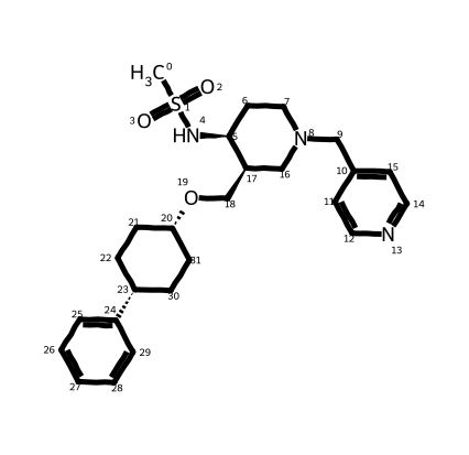 CS(=O)(=O)N[C@H]1CCN(Cc2ccncc2)C[C@H]1CO[C@H]1CC[C@@H](c2ccccc2)CC1